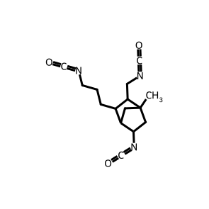 CC12CC(N=C=O)C(C1)C(CCCN=C=O)C2CN=C=O